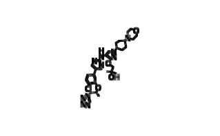 C[C@@H](Cn1cnnn1)Oc1cc(-c2cnc(Nc3cn(C4CCC(N5CCOCC5)CC4)nc3OCC(C)(C)O)nc2)ccc1Cl